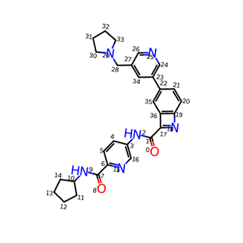 O=C(Nc1ccc(C(=O)NC2CCCC2)nc1)C1=Nc2ccc(-c3cncc(CN4CCCC4)c3)cc21